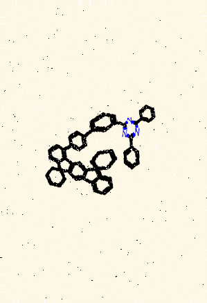 c1ccc(-c2nc(-c3ccccc3)nc(-c3cccc(-c4ccc(-c5cccc6c5-c5cc7c(cc5C65CCCCC5)-c5ccccc5C75CCCCC5)cc4)c3)n2)cc1